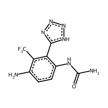 NC(=O)Nc1ccc(N)c(C(F)(F)F)c1-c1nnn[nH]1